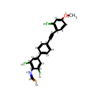 COc1ccc(C#Cc2ccc(-c3cc(F)c(N=C=S)c(F)c3)cc2)c(F)c1